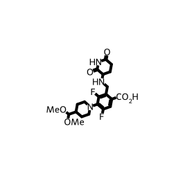 COC(OC)C1CCN(c2c(F)cc(C(=O)O)c(CNC3CCC(=O)NC3=O)c2F)CC1